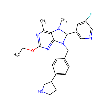 CCOc1nc(C)c2c(n1)N(Cc1ccc(C3CCNC3)cc1)C(c1cncc(F)c1)N2C